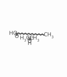 CCCCCCCCCCCCCCCCCC(=O)O.C[NH+](C)[O-]